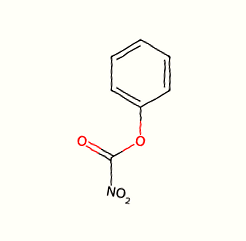 O=C(Oc1ccccc1)[N+](=O)[O-]